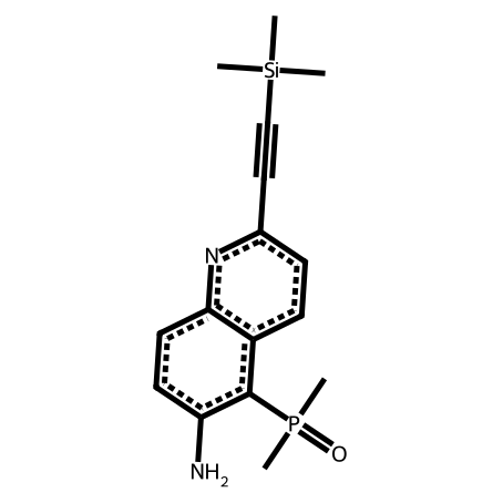 C[Si](C)(C)C#Cc1ccc2c(P(C)(C)=O)c(N)ccc2n1